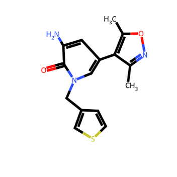 Cc1noc(C)c1-c1cc(N)c(=O)n(Cc2ccsc2)c1